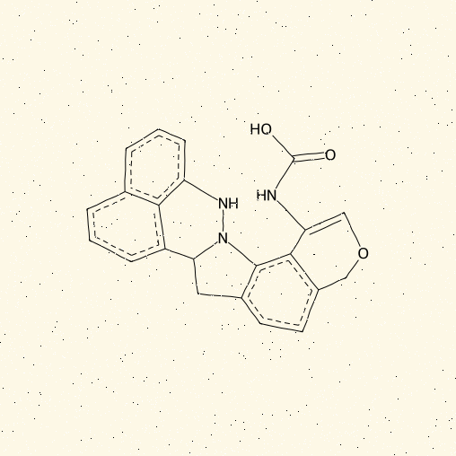 O=C(O)NC1=COCc2ccc3c(c21)N1Nc2cccc4cccc(c24)C1C3